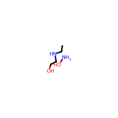 CCNCCO.NO